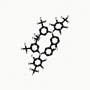 Fc1c(F)c(C(F)(F)F)c(F)c(F)c1N(c1cc(C(F)(F)F)cc(C(F)(F)F)c1)c1ccc2oc3ccc(N(c4cc(C(F)(F)F)cc(C(F)(F)F)c4)c4c(F)c(F)c(C(F)(F)F)c(F)c4F)cc3c2c1